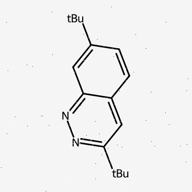 CC(C)(C)c1ccc2cc(C(C)(C)C)nnc2c1